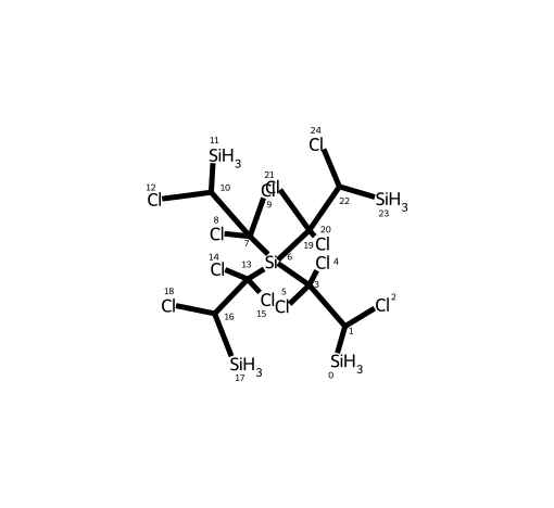 [SiH3]C(Cl)C(Cl)(Cl)[Si](C(Cl)(Cl)C([SiH3])Cl)(C(Cl)(Cl)C([SiH3])Cl)C(Cl)(Cl)C([SiH3])Cl